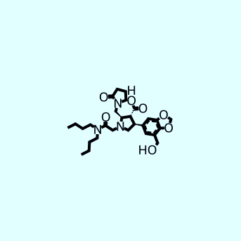 CCCCN(CCCC)C(=O)CN1C[C@H](c2cc(CO)c3c(c2)OCO3)[C@@H](C(=O)O)[C@@H]1CN1CCCC1=O